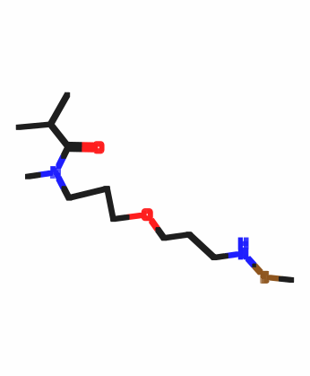 CSNCCCOCCCN(C)C(=O)C(C)C